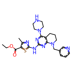 CCOC(=O)c1sc(Nc2nc(N3CCNCC3)c3c(n2)N(Cc2cccnc2)CCC3)nc1C